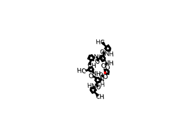 C#Cc1cccc(NC(=O)c2cc(NC(=O)Oc3ccc(OC(=O)Nc4cc(C(=O)Nc5cccc(C#C)c5)cc(C(=O)Nc5cccc(C#C)c5)c4)cc3)cc(C(=O)Nc3cccc(C#C)c3)c2)c1